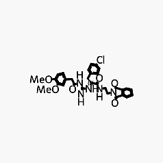 COc1ccc(CC(=O)NC(=N)N[C@@H](Cc2ccc(Cl)cc2)C(=O)NCCN2C(=O)c3ccccc3C2=O)cc1OC